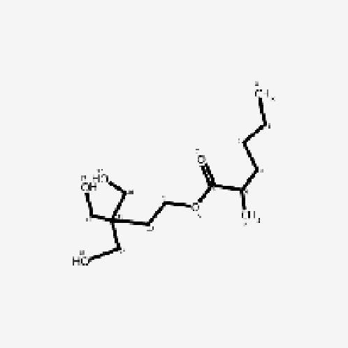 CCCCC(C)C(=O)OCCC(CO)(CO)CO